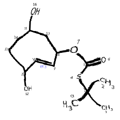 CC(C)(C)SC(=O)OC1/C=C/C(O)CCC(O)C1